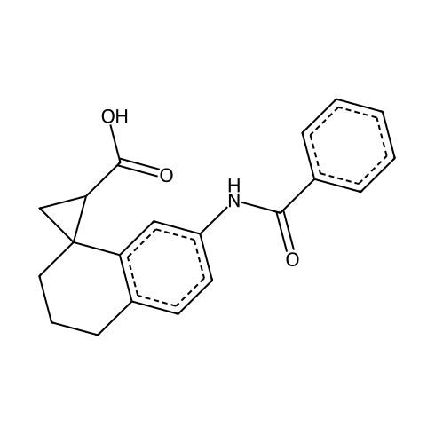 O=C(Nc1ccc2c(c1)C1(CCC2)CC1C(=O)O)c1ccccc1